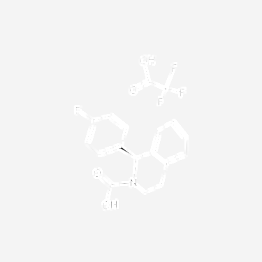 O=C(O)C(F)(F)F.O=C(O)N1CCc2ccccc2[C@@H]1c1ccc(F)cc1